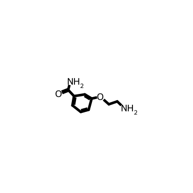 NCCOc1cccc(C(N)=O)c1